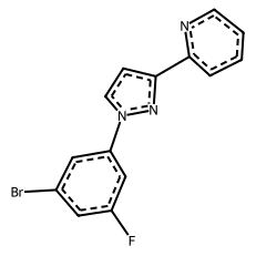 Fc1cc(Br)cc(-n2ccc(-c3ccccn3)n2)c1